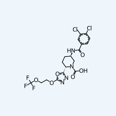 O=C(N[C@@H]1CC[C@@H](c2nnc(OCCOC(F)(F)F)o2)N(C(=O)O)C1)c1ccc(Cl)c(Cl)c1